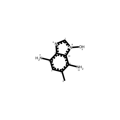 Cc1cc(N)c2ncn(O)c2c1N